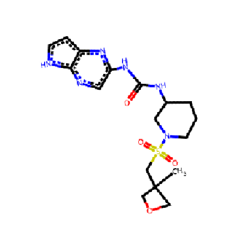 CC1(CS(=O)(=O)N2CCCC(NC(=O)Nc3cnc4[nH]ccc4n3)C2)COC1